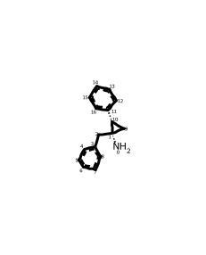 N[C@@]1(Cc2ccccc2)C[C@H]1c1ccccc1